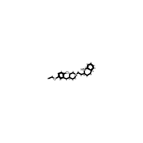 CCOc1ccc(Cl)c(CC2CCN(CCC3CCc4ccccc4N3)CC2)c1